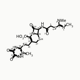 C/N=C(\NC)SCC(=O)NC1C(=O)N2C(C(=O)O)=C(CSc3nc(=O)c(=O)[nH]n3C)CSC12